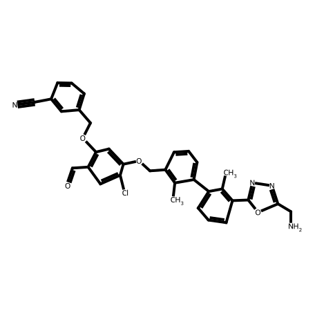 Cc1c(COc2cc(OCc3cccc(C#N)c3)c(C=O)cc2Cl)cccc1-c1cccc(-c2nnc(CN)o2)c1C